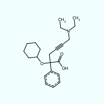 CCN(CC)CC#CCC(OC1CCCCC1)(C(=O)O)c1ccccc1